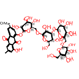 COc1cc(O[C@@H]2O[C@H](CO[C@@H]3O[C@H](CO)[C@@H](O)[C@H](O[C@@H]4O[C@H](CO[C@@H]5O[C@H](CO)[C@@H](O)[C@H](O)[C@H]5O)[C@@H](O)[C@H](O)[C@H]4O)[C@H]3O)[C@@H](O)[C@H](O)[C@H]2O)c2c(c1)C(=O)c1cc(C)cc(O)c1C2=O